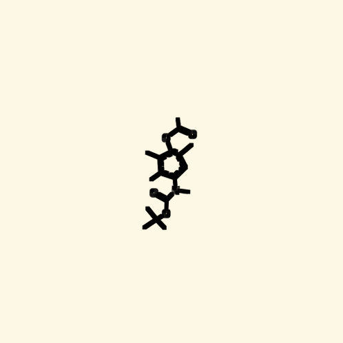 CC(=O)Oc1c(C)cc(N(C)C(=O)OC(C)(C)C)c(C)c1C